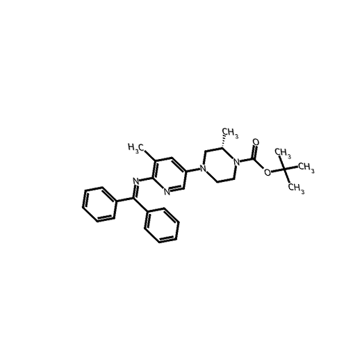 Cc1cc(N2CCN(C(=O)OC(C)(C)C)[C@@H](C)C2)cnc1N=C(c1ccccc1)c1ccccc1